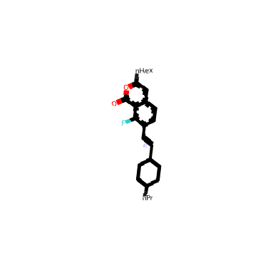 CCCCCCc1cc2ccc(/C=C/C3CCC(CCC)CC3)c(F)c2c(=O)o1